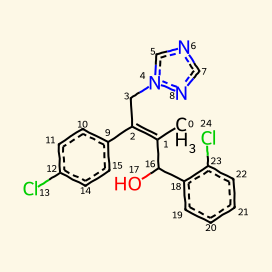 CC(=C(Cn1cncn1)c1ccc(Cl)cc1)C(O)c1ccccc1Cl